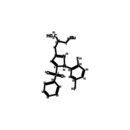 CC(C)(C)CN(Cc1cc(S(=O)(=O)c2ccccc2)n(-c2cc(F)ccc2F)n1)C(=O)O